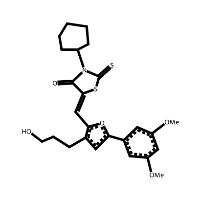 COc1cc(OC)cc(-c2cc(CCCO)c(/C=C3\SC(=S)N(C4CCCCC4)C3=O)o2)c1